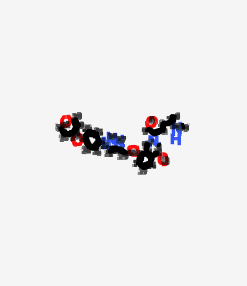 C=C(CCC(C=O)N(C)Cc1c(C=O)cccc1OCc1cn(-c2ccc(OC3CCOCC3)cc2)nn1)NC